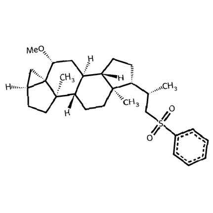 CO[C@@H]1C[C@H]2[C@@H]3CC[C@H]([C@H](C)CS(=O)(=O)c4ccccc4)[C@@]3(C)CC[C@@H]2[C@@]2(C)CC[C@H]3C[C@]312